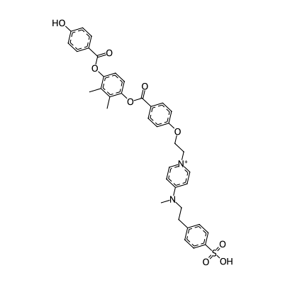 Cc1c(OC(=O)c2ccc(O)cc2)ccc(OC(=O)c2ccc(OCC[n+]3ccc(N(C)CCc4ccc(S(=O)(=O)O)cc4)cc3)cc2)c1C